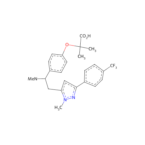 CNC(Cc1cc(-c2ccc(C(F)(F)F)cc2)nn1C)c1ccc(OC(C)(C)C(=O)O)cc1